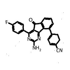 N#CC1=CC=C(c2cccc3c2-c2nc(N)nc(-c4ccc(F)cc4)c2C3=O)CC1